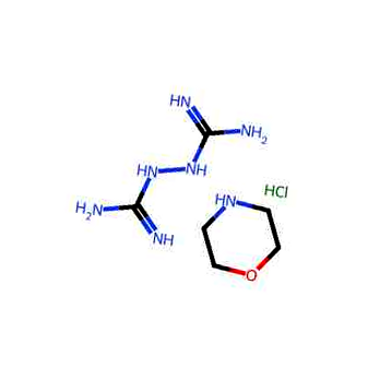 C1COCCN1.Cl.N=C(N)NNC(=N)N